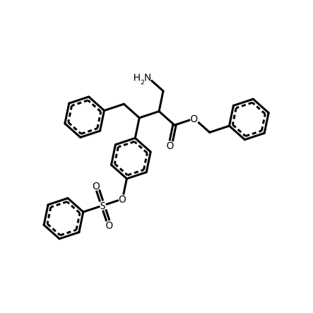 NCC(C(=O)OCc1ccccc1)C(Cc1ccccc1)c1ccc(OS(=O)(=O)c2ccccc2)cc1